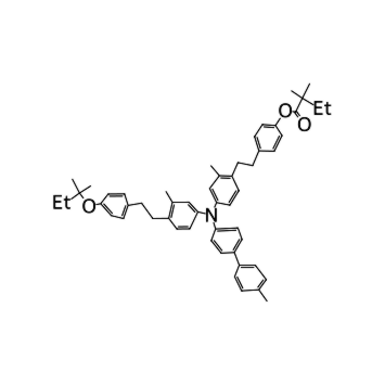 CCC(C)(C)Oc1ccc(CCc2ccc(N(c3ccc(-c4ccc(C)cc4)cc3)c3ccc(CCc4ccc(OC(=O)C(C)(C)CC)cc4)c(C)c3)cc2C)cc1